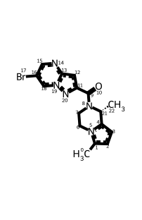 Cc1ccc2n1CCN(C(=O)c1cc3ncc(Br)cn3n1)[C@@H]2C